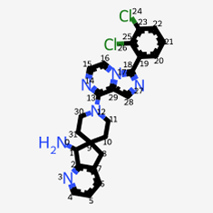 NC1c2ncccc2CC12CCN(c1nccn3c(-c4cccc(Cl)c4Cl)ncc13)CC2